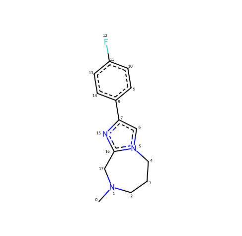 CN1CCCn2cc(-c3ccc(F)cc3)nc2C1